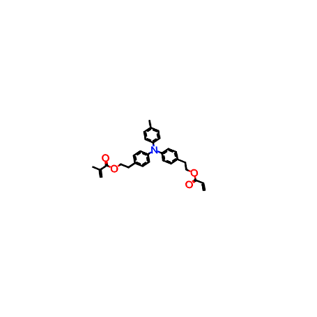 C=CC(=O)OCCc1ccc(N(c2ccc(C)cc2)c2ccc(CCOC(=O)C(=C)C)cc2)cc1